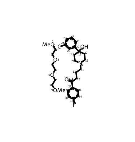 COCCOCCOCCOC.O=C(CCCN1CCC(O)(c2cccc(C(F)(F)F)c2)CC1)c1ccc(F)cc1